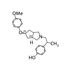 COc1ccc(O[C@H]2CC3CN(CC(C)c4ccc(O)cc4)C[C@H]3C2)cc1